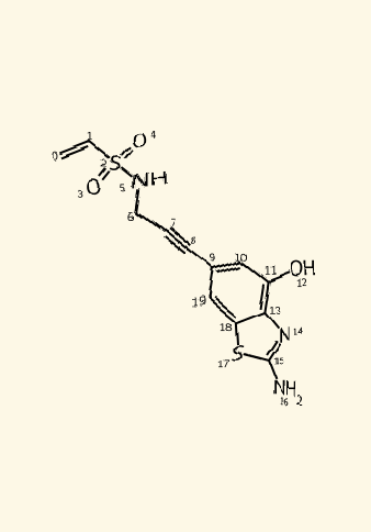 C=CS(=O)(=O)NCC#Cc1cc(O)c2nc(N)sc2c1